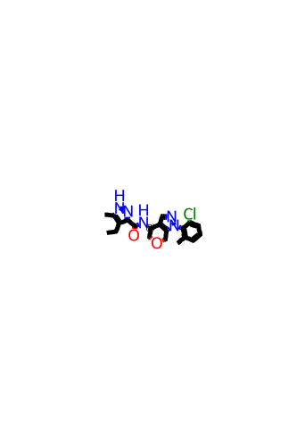 CCc1c(C(=O)N[C@H]2COCc3c2cnn3-c2c(C)cccc2Cl)n[nH]c1C